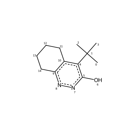 CC(C)(C)c1c(O)nnc2c1CCCC2